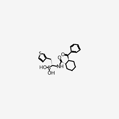 O=C(N[C@@H](Cc1ccsc1)B(O)O)[C@H]1CCCC[C@@H]1C(=O)c1ccccc1